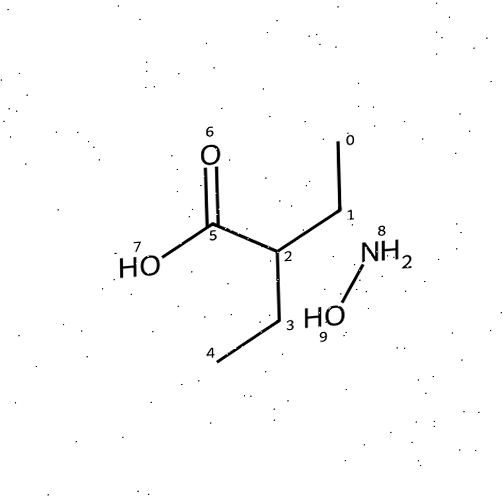 CCC(CC)C(=O)O.NO